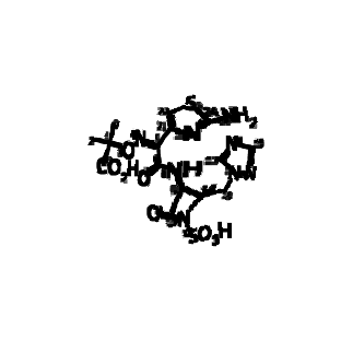 CC(C)(O/N=C(\C(=O)NC1C(=O)N(S(=O)(=O)O)C1Cn1cncn1)c1csc(N)n1)C(=O)O